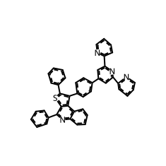 c1ccc(-c2sc3c(-c4ccccc4)nc4ccccc4c3c2-c2ccc(-c3cc(-c4ccccn4)nc(-c4ccccn4)c3)cc2)cc1